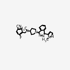 CN(Cc1cc(C#N)ccc1F)C1CCN(c2nnc(-c3ccnn3C)c3ccccc23)CC1